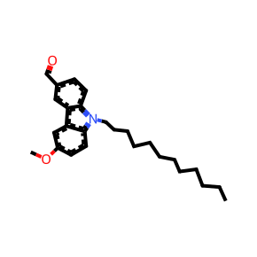 CCCCCCCCCCCCn1c2ccc(C=O)cc2c2cc(OC)ccc21